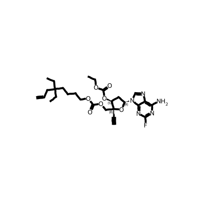 C#C[C@]1(COC(=O)OCCCCC(CC)(CC)CC=C)O[C@@H](n2cnc3c(N)nc(F)nc32)C[C@@H]1OC(=O)OCC